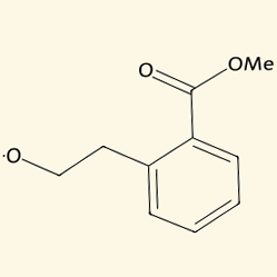 COC(=O)c1ccccc1CC[O]